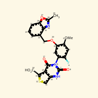 COc1cc(F)c(-n2c(=O)[nH]c3csc(C(=O)O)c3c2=O)cc1OCc1cccc2oc(C)nc12